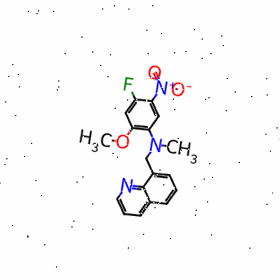 COc1cc(F)c([N+](=O)[O-])cc1N(C)Cc1cccc2cccnc12